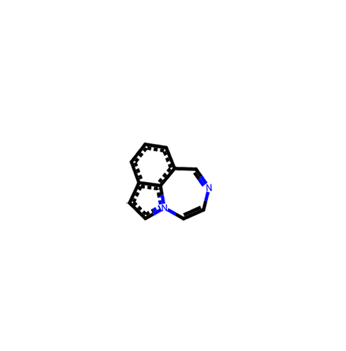 [c]1cn2c3c(cccc13)C=NC=C2